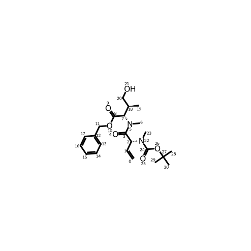 C=C[C@H](C(=O)N(C)[C@H](C(=O)OCc1ccccc1)[C@H](C)CO)N(C)C(=O)OC(C)(C)C